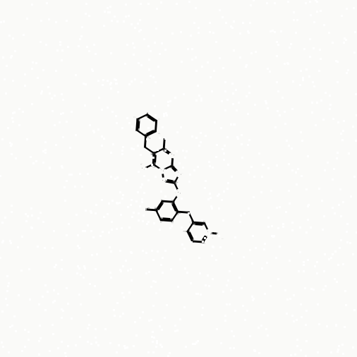 Cc1nc2nc(Nc3cc(Cl)ccc3Cc3ccc[n+]([O-])c3)nn2c(N)c1Cc1ccccc1